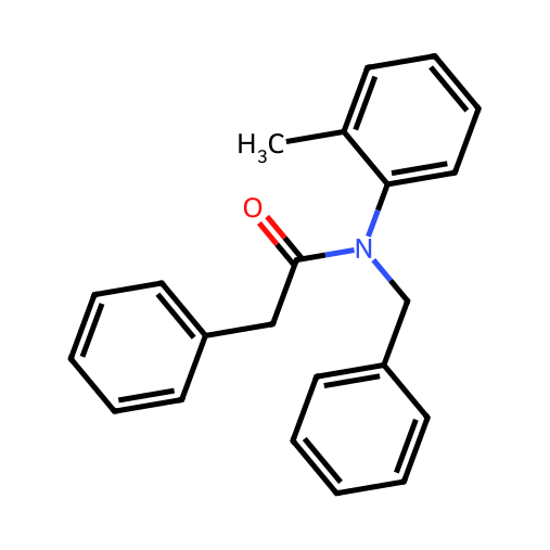 Cc1ccccc1N(Cc1ccccc1)C(=O)Cc1ccccc1